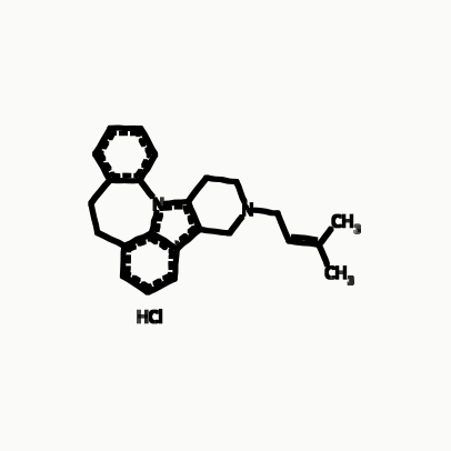 CC(C)=CCN1CCc2c(c3cccc4c3n2-c2ccccc2CC4)C1.Cl